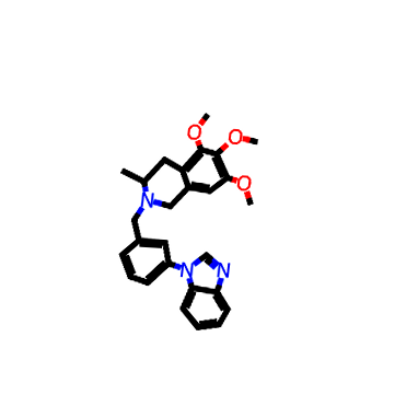 COc1cc2c(c(OC)c1OC)CC(C)N(Cc1cccc(-n3cnc4ccccc43)c1)C2